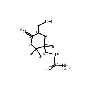 CC1(C)CC(=O)C(=CO)CC1(C)COC(N)=O